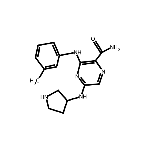 Cc1cccc(Nc2nc(NC3CCNC3)cnc2C(N)=O)c1